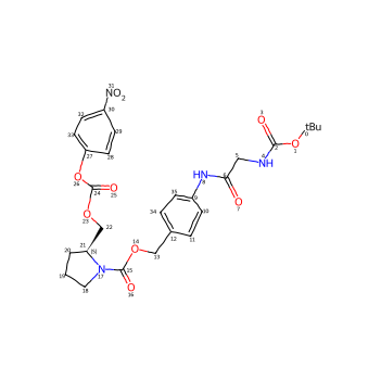 CC(C)(C)OC(=O)NCC(=O)Nc1ccc(COC(=O)N2CCC[C@H]2COC(=O)Oc2ccc([N+](=O)[O-])cc2)cc1